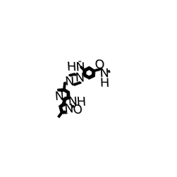 CNC(=O)c1ccc(N2CCN(Cc3cnc4c(c3)[nH]c(=O)n3cc(C)cc43)CC2)c(NC)c1